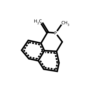 C=C1c2cccc3cccc(c23)CP1C